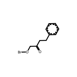 O=C(CCc1ccccc1)COBr